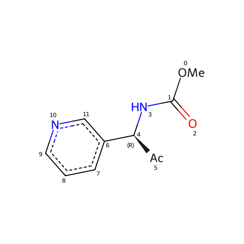 COC(=O)N[C@@H](C(C)=O)c1cccnc1